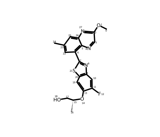 COc1cnc2c(-c3nc4cc(F)c(O[C@H](C)CO)cc4s3)cc(C)cc2n1